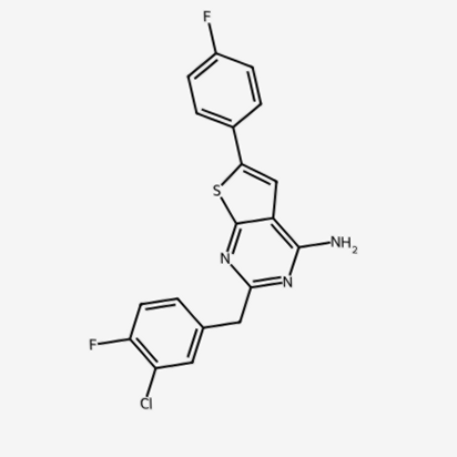 Nc1nc(Cc2ccc(F)c(Cl)c2)nc2sc(-c3ccc(F)cc3)cc12